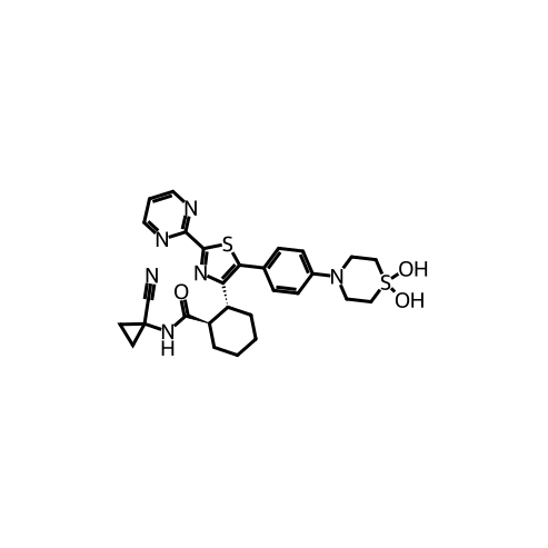 N#CC1(NC(=O)[C@@H]2CCCC[C@H]2c2nc(-c3ncccn3)sc2-c2ccc(N3CCS(O)(O)CC3)cc2)CC1